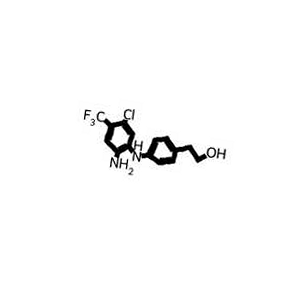 Nc1cc(C(F)(F)F)c(Cl)cc1Nc1ccc(CCO)cc1